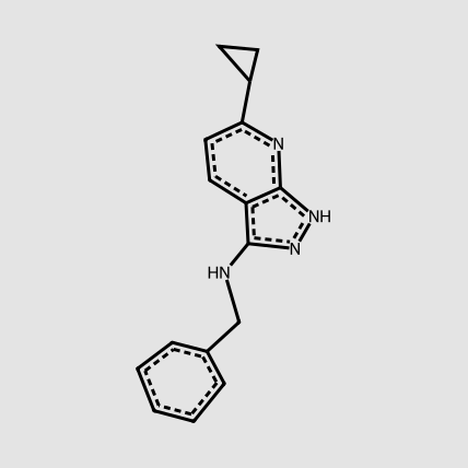 c1ccc(CNc2n[nH]c3nc(C4CC4)ccc23)cc1